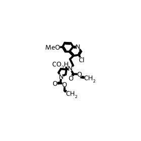 C=COC(=O)N1CCC(C(=O)O)(N(CCc2c(Cl)cnc3ccc(OC)cc23)C(=O)OC=C)C1